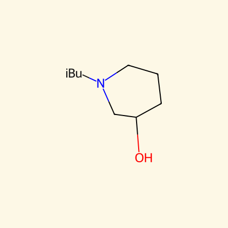 CCC(C)N1CCCC(O)C1